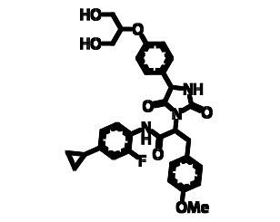 COc1ccc(CC(C(=O)Nc2ccc(C3CC3)cc2F)N2C(=O)NC(c3ccc(OC(CO)CO)cc3)C2=O)cc1